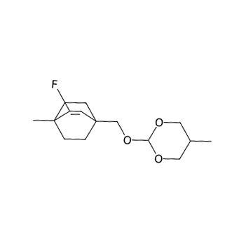 CC1COC(OCC23C=C(F)C(C)(CC2)CC3)OC1